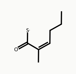 CCCC=C(C)C(=O)[S]